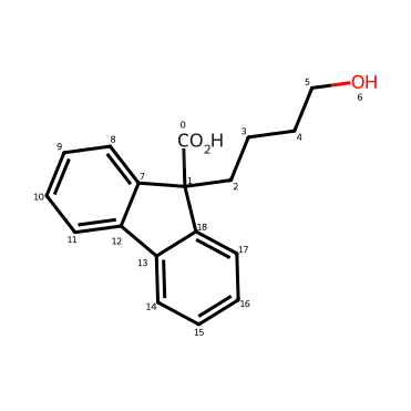 O=C(O)C1(CCCCO)c2ccccc2-c2ccccc21